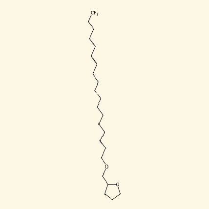 FC(F)(F)CCCCCCCCCCCCCCCCCOCC1CCCO1